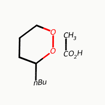 CC(=O)O.CCCCC1CCCOO1